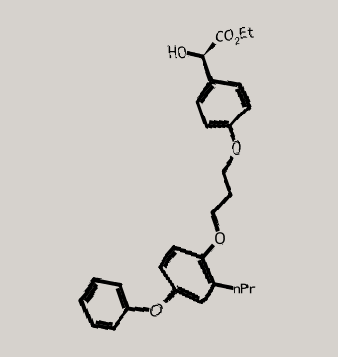 CCCc1cc(Oc2ccccc2)ccc1OCCCOc1ccc([C@@H](O)C(=O)OCC)cc1